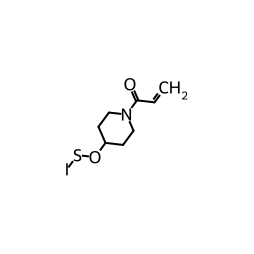 C=CC(=O)N1CCC(OSI)CC1